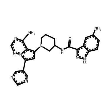 Nc1ccc2[nH]nc(C(=O)NC3CCCN(c4cc(-c5cncnc5)n5ncnc(N)c45)C3)c2c1